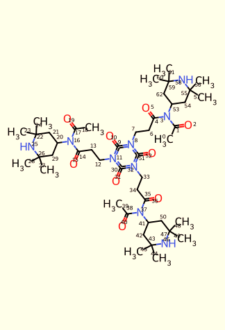 CC(=O)N(C(=O)CCn1c(=O)n(CCC(=O)N(C(C)=O)C2CC(C)(C)NC(C)(C)C2)c(=O)n(CCC(=O)N(C(C)=O)C2CC(C)(C)NC(C)(C)C2)c1=O)C1CC(C)(C)NC(C)(C)C1